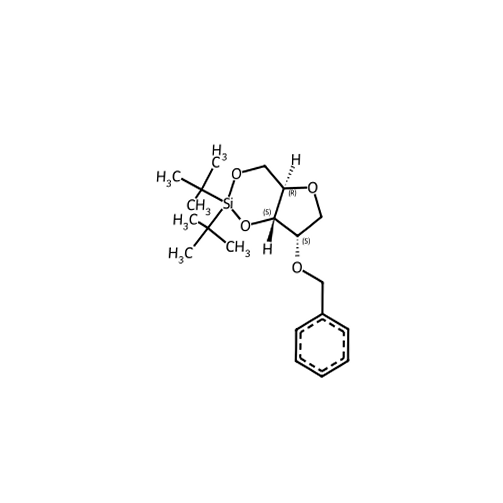 CC(C)(C)[Si]1(C(C)(C)C)OC[C@H]2OC[C@H](OCc3ccccc3)[C@@H]2O1